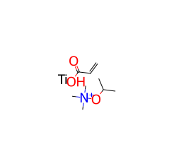 C=CC(=O)O.CC(C)O[N+](C)(C)C.[Ti]